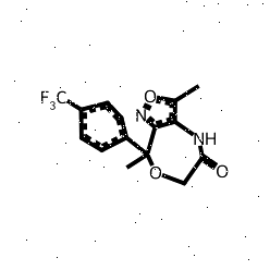 Cc1onc2c1NC(=O)COC2(C)c1ccc(C(F)(F)F)cc1